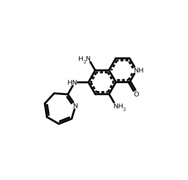 Nc1c(NC2=NC=CC=CC2)cc(N)c2c(=O)[nH]ccc12